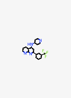 FC(F)(F)c1cccc(-c2cc(Nc3ccncc3)c3cccnc3n2)c1